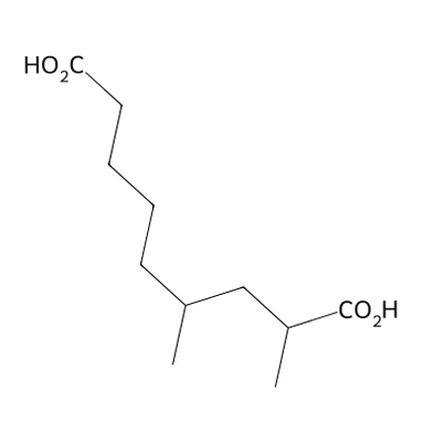 CC(CCCCC(=O)O)CC(C)C(=O)O